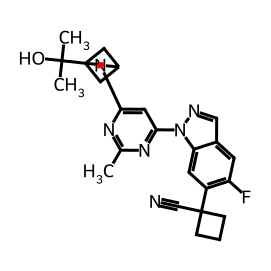 Cc1nc(N2CC3(C(C)(C)O)CC2C3)cc(-n2ncc3cc(F)c(C4(C#N)CCC4)cc32)n1